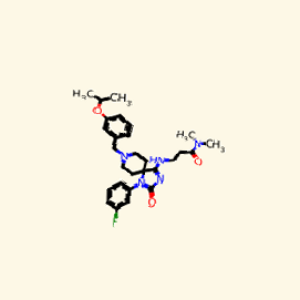 CC(C)Oc1cccc(CN2CCC3(CC2)C(NCCC(=O)N(C)C)=NC(=O)N3c2cccc(F)c2)c1